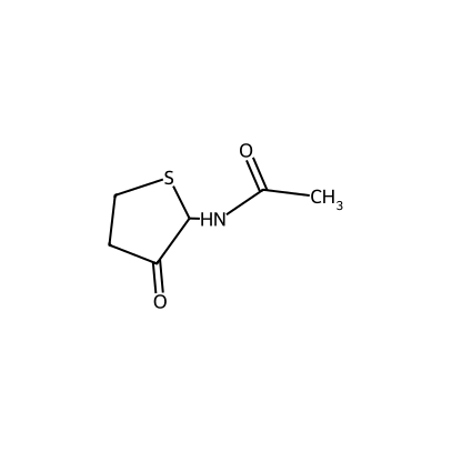 CC(=O)NC1SCCC1=O